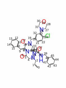 C=CCN1CC(=O)N2[C@@H](Cc3ccccc3)C(=O)N(Cc3ccc(Cl)c(N4CCOCC4)c3)C[C@@H]2N1C(=O)NCc1ccccc1